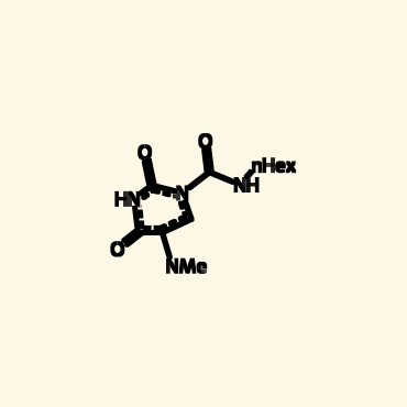 CCCCCCNC(=O)n1cc(NC)c(=O)[nH]c1=O